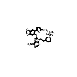 Cc1ccc(-c2cc3c(cc2Sc2nc4c(N)ncnc4n2CCC2CCCN(S(C)(=O)=O)C2)OCO3)o1